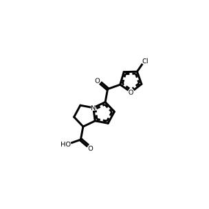 O=C(c1cc(Cl)co1)c1ccc2n1CCC2C(=O)O